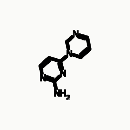 Nc1nccc(N2C=CC=NC2)n1